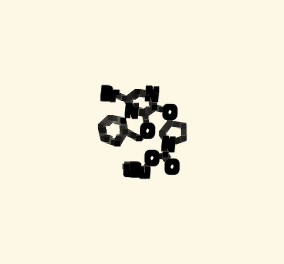 CC(C)(C)OC(=O)N1CCC(Oc2ncc(Br)nc2OCc2ccccc2)C1